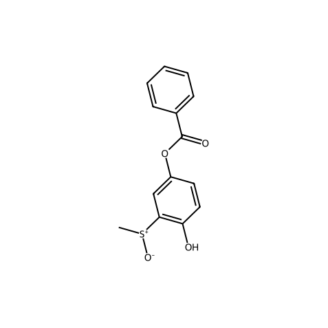 C[S+]([O-])c1cc(OC(=O)c2ccccc2)ccc1O